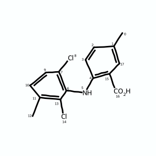 Cc1ccc(Nc2c(Cl)ccc(C)c2Cl)c(C(=O)O)c1